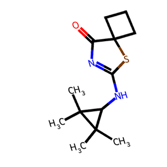 CC1(C)C(NC2=NC(=O)C3(CCC3)S2)C1(C)C